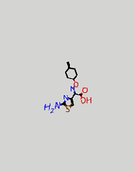 C=C1CCC(ON=C(C(=O)O)c2csc(N)n2)CC1